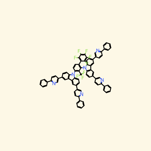 Fc1c(F)c(F)c(-c2ccc(-n3c4ccc(-c5ccc(-c6ccccc6)nc5)cc4c4cc(-c5ccc(-c6ccccc6)nc5)ccc43)c(C(F)(F)F)c2-n2c3ccc(-c4ccc(-c5ccccc5)nc4)cc3c3cc(-c4ccc(-c5ccccc5)nc4)ccc32)c(F)c1F